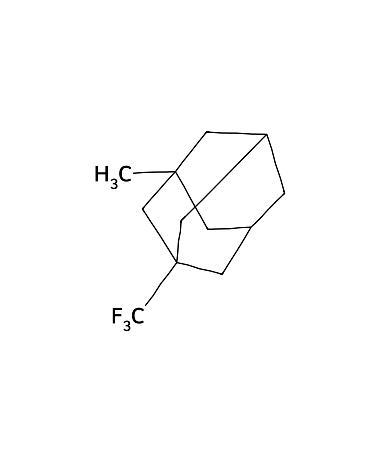 CC12CC3CC(C1)CC(C(F)(F)F)(C3)C2